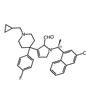 C[C@@H](c1cc(Cl)cc2ccccc12)N1CC=C(C2(c3ccc(F)cc3)CCN(CC3CC3)CC2)C1C=O